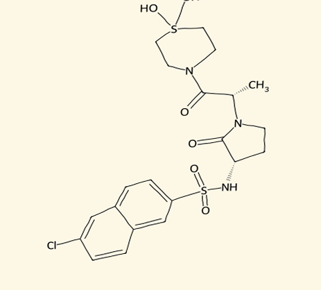 C[C@@H](C(=O)N1CCS(O)(O)CC1)N1CC[C@H](NS(=O)(=O)c2ccc3cc(Cl)ccc3c2)C1=O